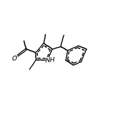 CC(=O)c1c(C)[nH]c(C(C)c2ccccc2)c1C